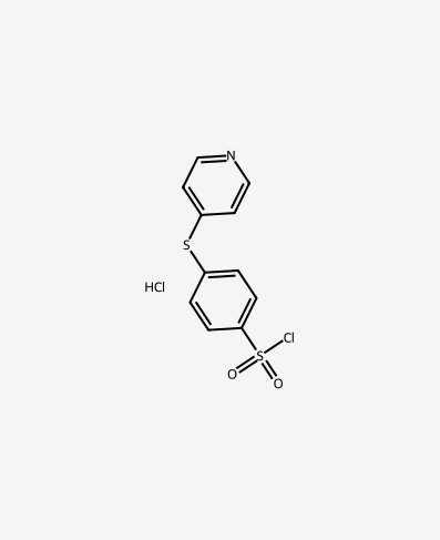 Cl.O=S(=O)(Cl)c1ccc(Sc2ccncc2)cc1